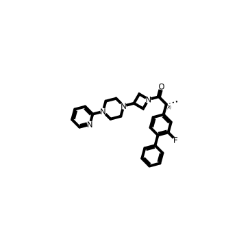 C[C@@H](C(=O)N1CC(N2CCN(c3ccccn3)CC2)C1)c1ccc(-c2ccccc2)c(F)c1